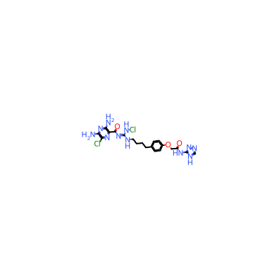 Nc1nc(N)c(C(=O)/N=C(\NCl)NCCCCc2ccc(OCC(=O)Nc3nnc[nH]3)cc2)nc1Cl